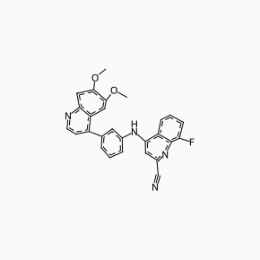 COc1cc2nccc(-c3cccc(Nc4cc(C#N)nc5c(F)cccc45)c3)c2cc1OC